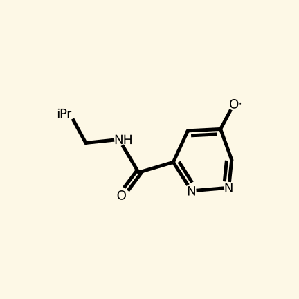 CC(C)CNC(=O)c1cc([O])cnn1